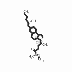 CCCC[C@H](O)CC1=CCC2C(CC[C@@]3(C)C2CC[C@@H]3[C@H](C)CCC(=O)N(C)OC)C1